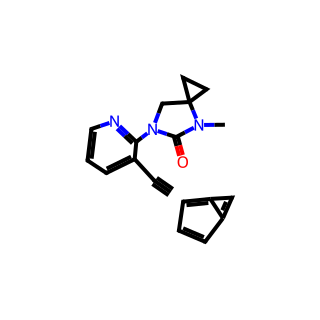 C#Cc1cccnc1N1CC2(CC2)N(C)C1=O.c1cc2cc-2c1